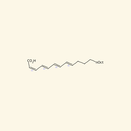 CCCCCCCCCCC/C=C/C=C/C=C/C=C\C(=O)O